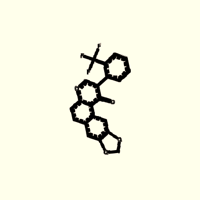 O=c1c(-c2ccccc2C(F)(F)F)coc2ccc3cc4c(cc3c12)OCO4